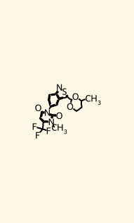 CC1CCOC(c2snc3ccc(-n4c(=O)cc(C(F)(F)F)n(C)c4=O)cc23)O1